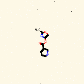 Cc1nc(OC(=O)c2cccnc2)co1